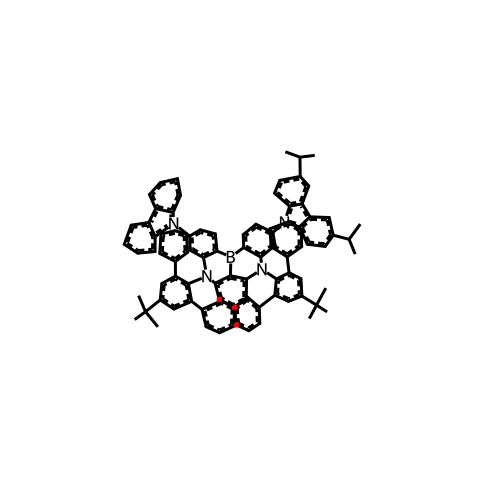 CC(C)c1ccc2c(c1)c1cc(C(C)C)ccc1n2-c1ccc2c(c1)N(c1c(-c3ccccc3)cc(C(C)(C)C)cc1-c1ccccc1)c1cccc3c1B2c1ccc(-n2c4ccccc4c4ccccc42)cc1N3c1c(-c2ccccc2)cc(C(C)(C)C)cc1-c1ccccc1